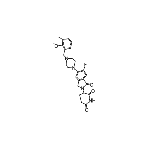 COc1c(C)cccc1CN1CCN(c2cc3c(cc2F)C(=O)N(C2CCC(=O)NC2=O)C3)CC1